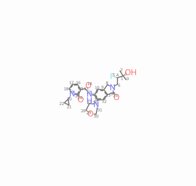 CC(C)(O)[C@H](F)CN1Cc2cc(NC(=O)c3cccn(C4CC4)c3=O)c(N3CCOCC3)cc2C1=O